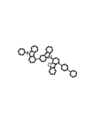 c1ccc(-c2ccc(-c3ccc(-n4c5ccccc5c5cc(-c6cccc7c6c6ccccc6n7-c6ccccc6)ccc54)c4oc5ccccc5c34)cc2)cc1